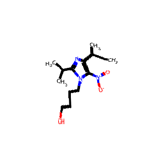 CC(C)c1nc(C(C)C)n(CCCCO)c1[N+](=O)[O-]